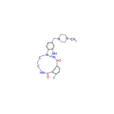 CN1CCN(Cc2ccc3c(c2)N/C2=N\C(=O)c4ccc(F)c(c4)C(=O)NCCCCCN23)CC1